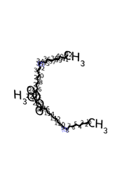 CCCCCCCC/C=C\CCCCCCCC(=O)O[CH]C(C)OC(=O)CCCCCCC/C=C\CCCCCCCC